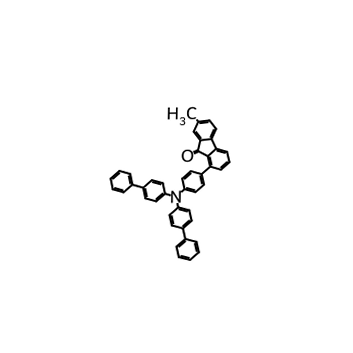 Cc1ccc2c(c1)C(=O)c1c(-c3ccc(N(c4ccc(-c5ccccc5)cc4)c4ccc(-c5ccccc5)cc4)cc3)cccc1-2